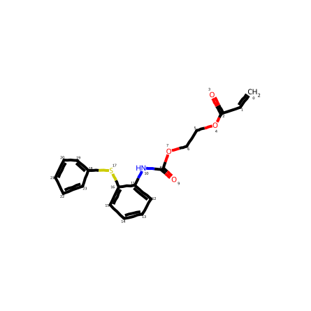 C=CC(=O)OCCOC(=O)Nc1ccccc1Sc1ccccc1